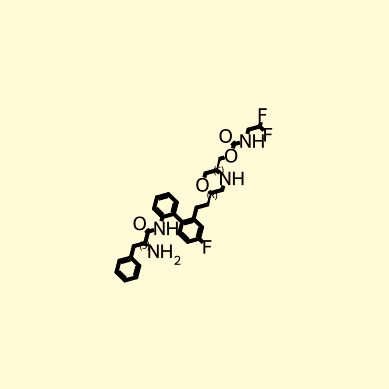 N[C@@H](Cc1ccccc1)C(=O)Nc1ccccc1-c1ccc(F)cc1CC[C@@H]1CN[C@H](COC(=O)NCC(F)F)CO1